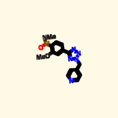 CN[S+]([O-])c1ccc(-c2nnn(Cc3ccncc3)n2)cc1OC